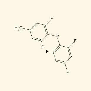 Cc1cc(F)c([I+]c2c(F)cc(F)cc2F)c(F)c1